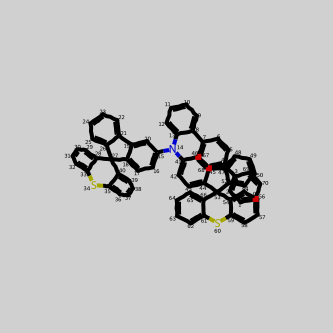 c1ccc(-c2ccc(-c3ccccc3N(c3ccc4c(c3)-c3ccccc3C43c4ccccc4Sc4ccccc43)c3ccc4c(c3)-c3ccccc3C43c4ccccc4Sc4ccccc43)cc2)cc1